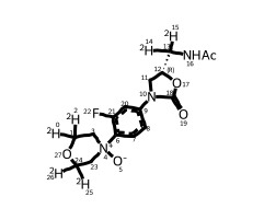 [2H]C1([2H])C[N+]([O-])(c2ccc(N3C[C@H](C([2H])([2H])NC(C)=O)OC3=O)cc2F)CC([2H])([2H])O1